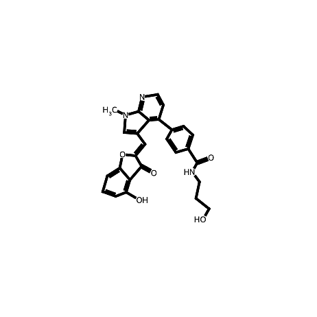 Cn1cc(C=C2Oc3cccc(O)c3C2=O)c2c(-c3ccc(C(=O)NCCCO)cc3)ccnc21